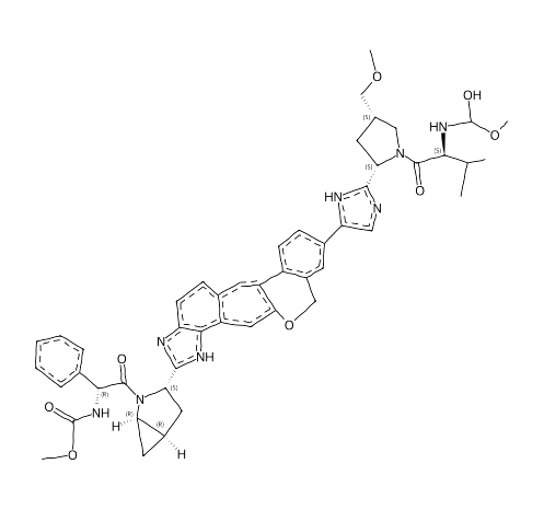 COC[C@H]1C[C@@H](c2ncc(-c3ccc4c(c3)COc3cc5c(ccc6nc([C@@H]7C[C@H]8C[C@H]8N7C(=O)[C@H](NC(=O)OC)c7ccccc7)[nH]c65)cc3-4)[nH]2)N(C(=O)[C@@H](NC(O)OC)C(C)C)C1